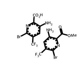 COC(=O)c1nc(Br)c(C(F)(F)F)cc1N.Nc1cc(C(F)(F)F)c(Br)nc1C(=O)O